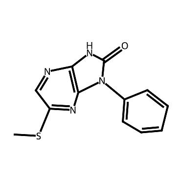 CSc1cnc2[nH]c(=O)n(-c3ccccc3)c2n1